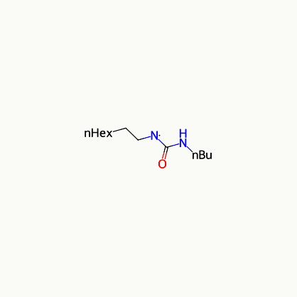 CCCCCCCC[N]C(=O)NCCCC